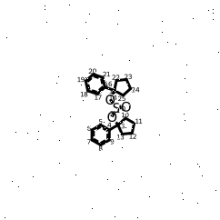 O=S(OC1(c2ccccc2)CCCC1)OC1(c2ccccc2)CCCC1